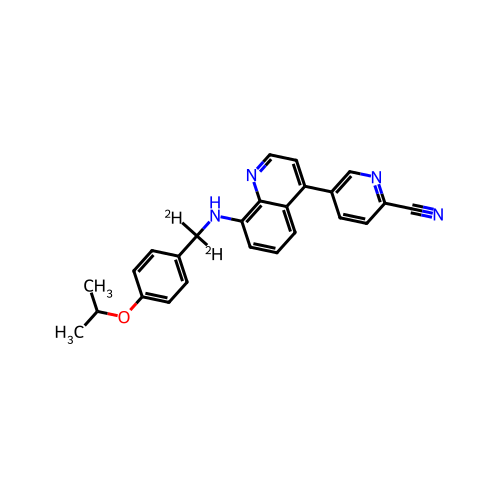 [2H]C([2H])(Nc1cccc2c(-c3ccc(C#N)nc3)ccnc12)c1ccc(OC(C)C)cc1